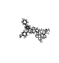 CN[C@@H](C)C(=O)N[C@H](C(=O)N1CCC[C@H]1CN(CCc1ccc(F)cc1)C(=O)c1cn(-c2ccccc2)nn1)[C@@H](C)OC